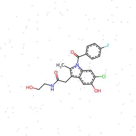 Cc1c(CC(=O)NCCO)c2cc(O)c(Cl)cc2n1C(=O)c1ccc(F)cc1